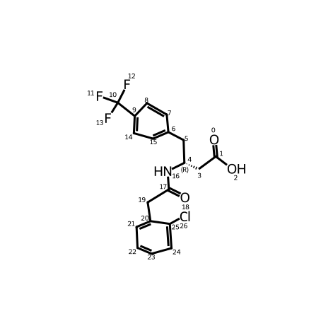 O=C(O)C[C@@H](Cc1ccc(C(F)(F)F)cc1)NC(=O)Cc1ccccc1Cl